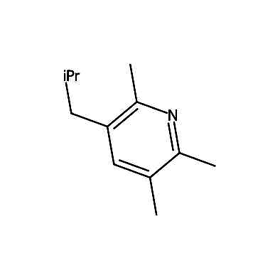 Cc1cc(CC(C)C)c(C)nc1C